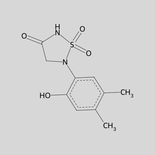 Cc1cc(O)c(N2CC(=O)NS2(=O)=O)cc1C